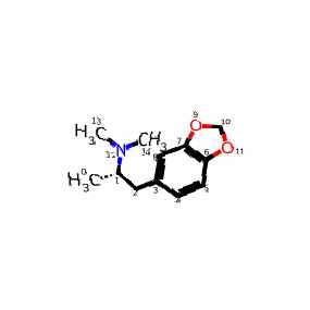 C[C@@H](Cc1ccc2c(c1)OCO2)N(C)C